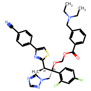 CCN(CC)Cc1cccc(C(=O)OCO[C@@](Cn2cncn2)(c2ccc(F)cc2F)[C@@H](C)c2nc(-c3ccc(C#N)cc3)cs2)c1